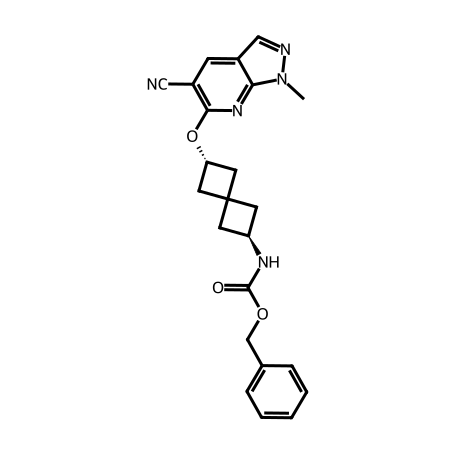 Cn1ncc2cc(C#N)c(O[C@H]3CC4(C[C@H](NC(=O)OCc5ccccc5)C4)C3)nc21